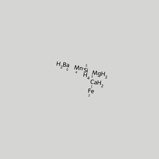 [BaH2].[CaH2].[Fe].[MgH2].[Mn].[SiH4]